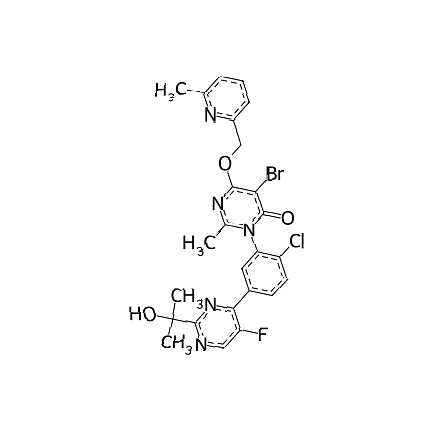 Cc1cccc(COc2nc(C)n(-c3cc(-c4nc(C(C)(C)O)ncc4F)ccc3Cl)c(=O)c2Br)n1